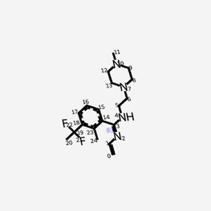 C=C/N=C(/NCCN1CCN(C)CC1)c1cccc(C(C)(F)F)c1C